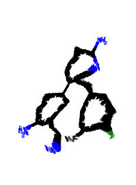 Cc1cc(-c2nc(N)ccc2-c2ccc(N)c(C=N)c2)ccc1F